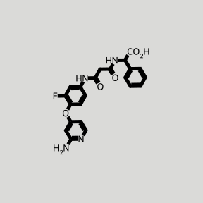 Nc1cc(Oc2ccc(NC(=O)CC(=O)NC(C(=O)O)c3ccccc3)cc2F)ccn1